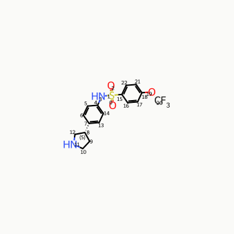 O=S(=O)(Nc1ccc([C@@H]2CCNC2)cc1)c1ccc(OC(F)(F)F)cc1